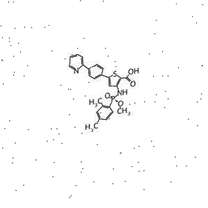 COP(=O)(Nc1cc(-c2ccc(-c3ccccn3)cc2)sc1C(=O)O)c1ccc(C)cc1C